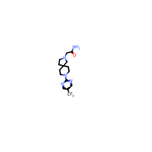 NC(=O)CN1CCC2(CCN(c3ncc(C(F)(F)F)cn3)CC2)C1